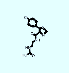 O=C(O)NCCNC(=O)c1ncsc1-c1ccc(Cl)cc1